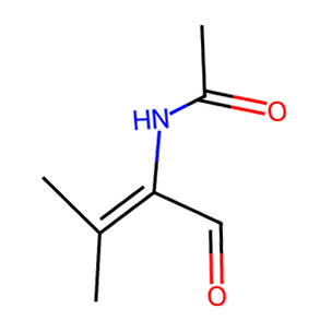 CC(=O)NC(C=O)=C(C)C